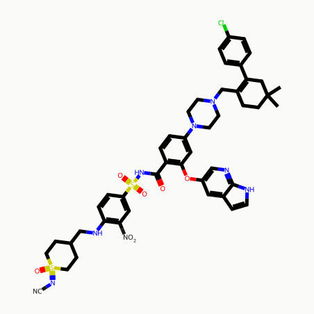 CC1(C)CCC(CN2CCN(c3ccc(C(=O)NS(=O)(=O)c4ccc(NCC5CCS(=O)(=NC#N)CC5)c([N+](=O)[O-])c4)c(Oc4cnc5[nH]ccc5c4)c3)CC2)=C(c2ccc(Cl)cc2)C1